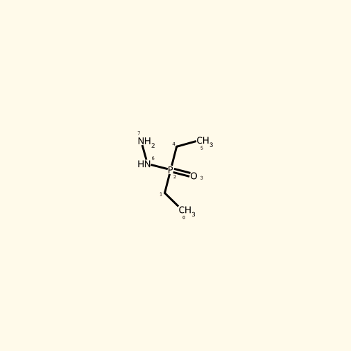 CCP(=O)(CC)NN